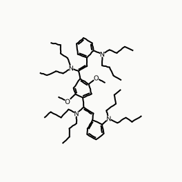 CCCCN(CCCC)C(=Cc1ccccc1N(CCCC)CCCC)c1cc(OC)c(C(=Cc2ccccc2N(CCCC)CCCC)N(CCCC)CCCC)cc1OC